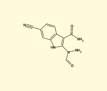 N#Cc1ccc2c(C(N)=O)c(N(N)C=O)[nH]c2c1